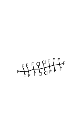 FC(F)(F)C(F)(F)C(F)(F)C(Cl)(Cl)C(Cl)(Cl)C(F)(F)C(F)(F)C(F)(F)F